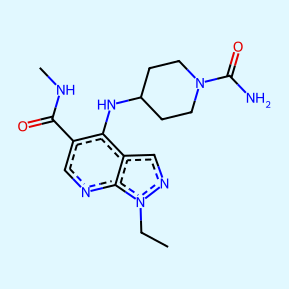 CCn1ncc2c(NC3CCN(C(N)=O)CC3)c(C(=O)NC)cnc21